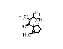 CC(C)N(C)C(=O)[C@H]1CCCN1C